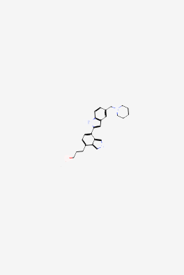 COCCCc1ccc(-c2cc3cc(CN4CCCCC4)ccc3[nH]2)c2c[nH]cc12